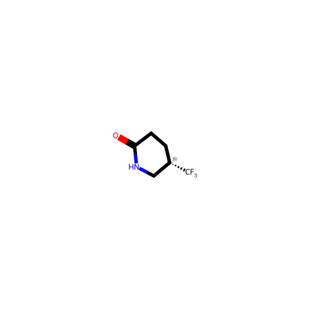 O=C1CC[C@H](C(F)(F)F)CN1